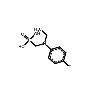 CCN(CP(=O)(O)O)c1ccc(F)cc1